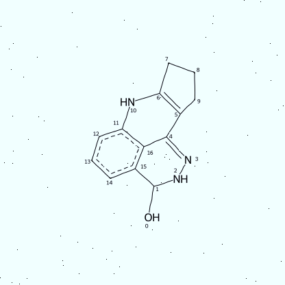 OC1NN=C2C3=C(CCC3)Nc3cccc1c32